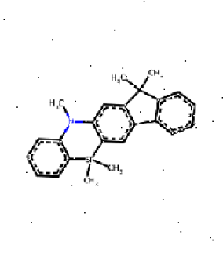 CN1c2ccccc2[Si](C)(C)c2cc3c(cc21)C(C)(C)c1ccccc1-3